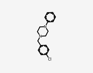 Clc1ccc(CN2CCN(c3cc[c]cc3)CC2)cc1